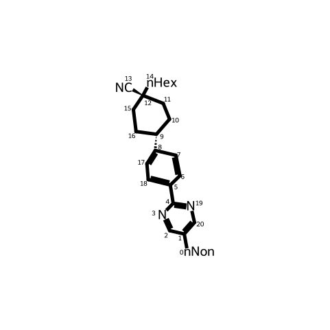 CCCCCCCCCc1cnc(-c2ccc([C@H]3CC[C@@](C#N)(CCCCCC)CC3)cc2)nc1